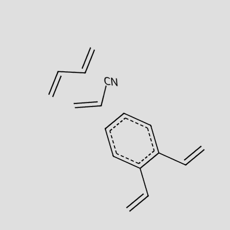 C=CC#N.C=CC=C.C=Cc1ccccc1C=C